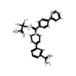 N=C(N)c1cccc(C2=CCN(C(=O)c3ccc(-c4ccccn4)cc3)CC2)c1.O=C(O)C(F)(F)F